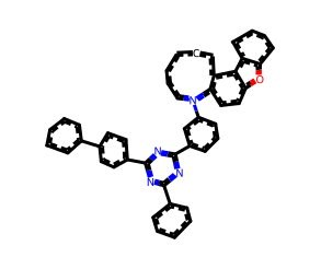 c1ccc(-c2ccc(-c3nc(-c4ccccc4)nc(-c4cccc(-n5ccccccc6c7c(ccc65)oc5ccccc57)c4)n3)cc2)cc1